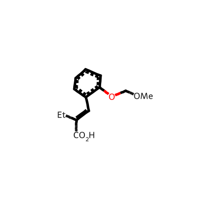 CC/C(=C\c1ccccc1OCOC)C(=O)O